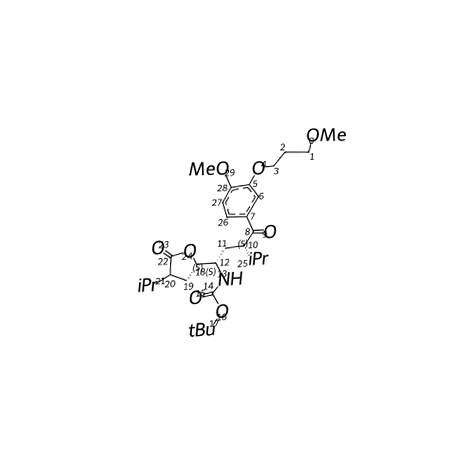 COCCCOc1cc(C(=O)[C@@H](C[C@H](NC(=O)OC(C)(C)C)[C@@H]2CC(C(C)C)C(=O)O2)C(C)C)ccc1OC